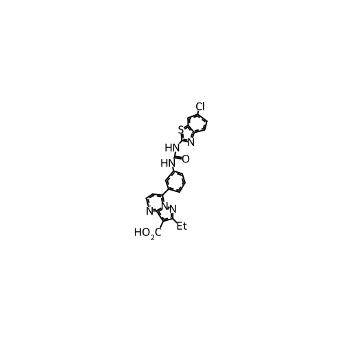 CCc1nn2c(-c3cccc(NC(=O)Nc4nc5ccc(Cl)cc5s4)c3)ccnc2c1C(=O)O